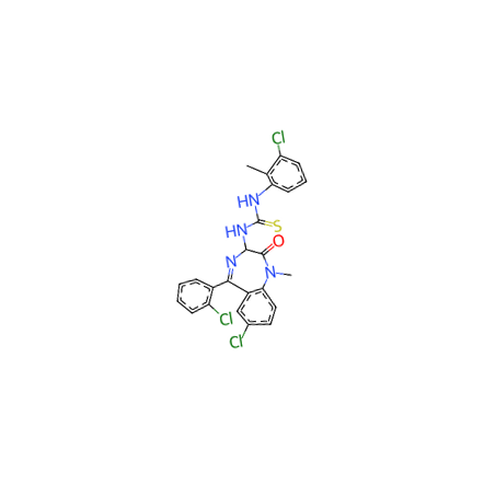 Cc1c(Cl)cccc1NC(=S)NC1N=C(c2ccccc2Cl)c2cc(Cl)ccc2N(C)C1=O